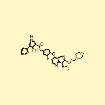 Bc1c(OCCN2CCOCC2)ncc2c(Oc3ccc(NC(=O)c4c[nH]cc(-c5ccccc5)c4=O)cc3F)ccnc12